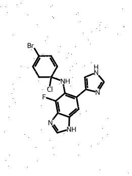 Fc1c(NC2(Cl)C=CC(Br)=CC2)c(-c2c[nH]cn2)cc2[nH]cnc12